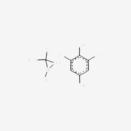 NN1NC1(N)N.O=Cc1cc(O)c(O)c(O)c1